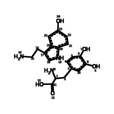 NC(Cc1ccc(O)c(O)c1)C(=O)O.NCCc1c[nH]c2ccc(O)cc12